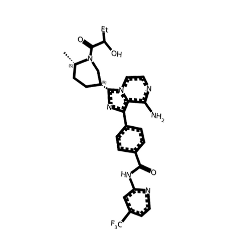 CCC(O)C(=O)N1C[C@H](c2nc(-c3ccc(C(=O)Nc4cc(C(F)(F)F)ccn4)cc3)c3c(N)nccn23)CC[C@@H]1C